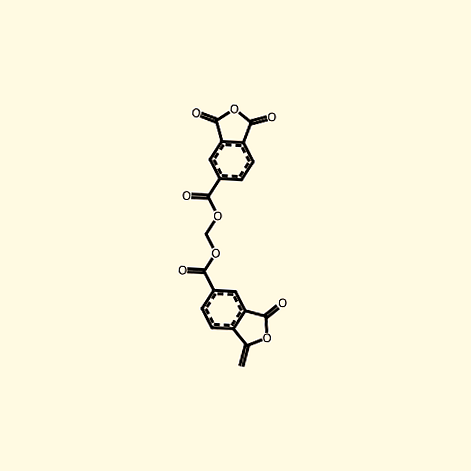 C=C1OC(=O)c2cc(C(=O)OCOC(=O)c3ccc4c(c3)C(=O)OC4=O)ccc21